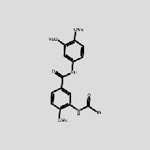 COc1ccc(C(=O)Nc2ccc(OC)c(OC)c2)cc1NC(=O)C(C)C